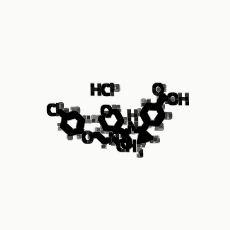 CN(CCOc1ccc(Cl)cc1)C1(C(=O)NC2(c3ccc(C(=O)O)cc3)CC2)CCOCC1.Cl